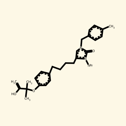 C=C(O)C(C)(C)Oc1ccc(CCCCc2cn(Cc3ccc(C)cc3)c(=O)n2CCC)cc1